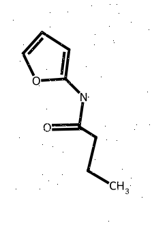 CCCC(=O)[N]c1ccco1